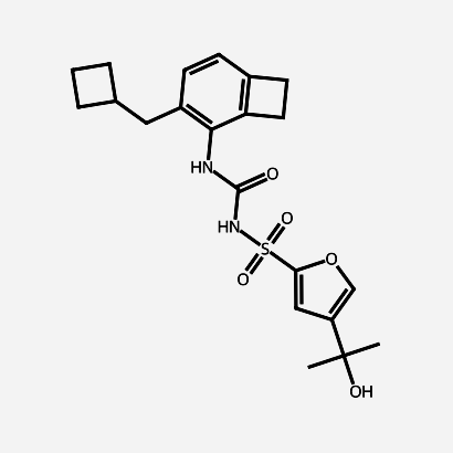 CC(C)(O)c1coc(S(=O)(=O)NC(=O)Nc2c(CC3CCC3)ccc3c2CC3)c1